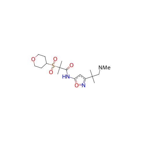 CNCC(C)(C)c1cc(NC(=O)C(C)(C)S(=O)(=O)C2CCOCC2)on1